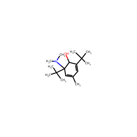 CC1=CC(N(C)C)(C(C)(C)C)C(O)C(C(C)(C)C)=C1